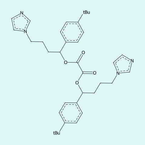 CC(C)(C)c1ccc(C(CCCn2ccnc2)OC(=O)C(=O)OC(CCCn2ccnc2)c2ccc(C(C)(C)C)cc2)cc1